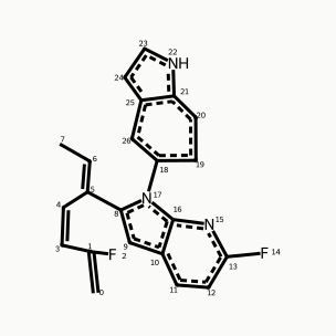 C=C(F)/C=C\C(=C/C)c1cc2ccc(F)nc2n1-c1ccc2[nH]ccc2c1